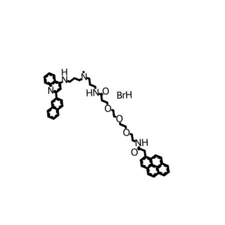 Br.CN(CCCNC(=O)CCOCCOCCOCCNC(=O)Cc1ccc2ccc3cccc4ccc1c2c34)CCCNc1cc(-c2ccc3ccccc3c2)nc2ccccc12